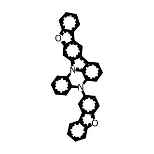 c1ccc2c(c1)N(c1ccc3oc4ccccc4c3c1)c1cccc3c4cc5c(cc4n-2c13)oc1ccccc15